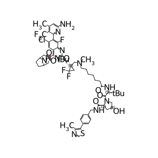 Cc1cc(N)nc(-c2c(Cl)cc3c(N4CC5CCC(C4)N5C(=O)OC(C)(C)C)nc(OC[C@]4(CN(C)CCCCCCC(=O)N[C@H](C(=O)N5C[C@H](O)C[C@H]5C(=O)NCc5ccc(-c6scnc6C)cc5)C(C)(C)C)CC4(F)F)nc3c2F)c1C(F)(F)F